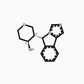 O[C@H]1CCOC[C@@H]1C1c2ccccc2-c2cncn21